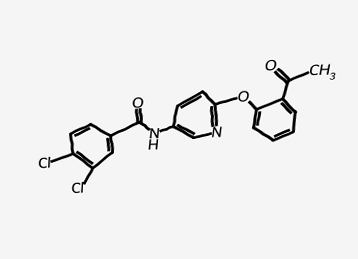 CC(=O)c1ccccc1Oc1ccc(NC(=O)c2ccc(Cl)c(Cl)c2)cn1